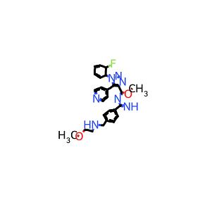 COCCNCc1ccc(C(=N)/N=C(\OC)c2nnn(C3C=CC=CC3F)c2-c2ccncc2)cc1